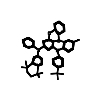 Cc1ccc2c(c1)B1c3ccccc3Oc3cc(N(c4ccccc4)c4ccc5c(c4)C(C)(C)CCC5(C)C)cc(c31)N2c1ccc(C(C)(C)C)cc1